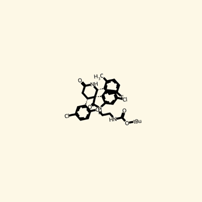 Cc1ccc(F)cc1[C@H]1NC(=O)C[C@@H](c2cc(Cl)ccc2OCCNC(=O)OC(C)(C)C)[C@]12C(=O)Nc1cc(Cl)ccc12